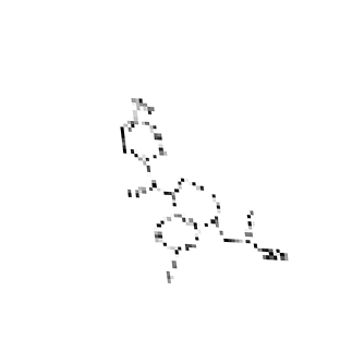 COC(=O)CC1CCCN(C(=O)c2ccc(N)cc2)c2ccc(F)cc21